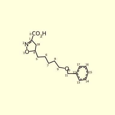 O=C(O)C1=NOC(CCCCCOCc2ccccc2)C1